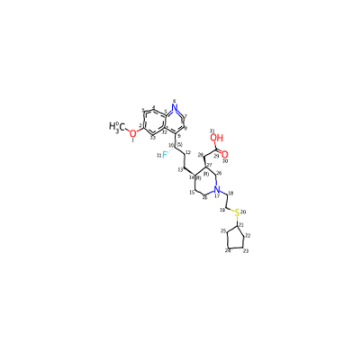 COc1ccc2nccc([C@@H](F)CC[C@@H]3CCN(CCSC4CCCC4)C[C@@H]3CC(=O)O)c2c1